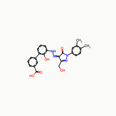 Cc1ccc(N2N=C(CO)/C(=N/Nc3cccc(-c4cccc(C(=O)O)c4)c3O)C2=O)cc1C